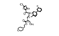 O=C(N[C@H](Cc1ccc(-c2cccc(F)c2)cc1)C[C@@H](CO)C(=O)OCCN1CCOCC1)c1nc(Cl)n[nH]1